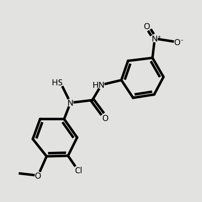 COc1ccc(N(S)C(=O)Nc2cccc([N+](=O)[O-])c2)cc1Cl